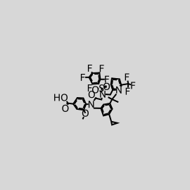 COc1cc(C(=O)O)ccc1N(Cc1cc(C2CC2)cc(C(C)(C)C)c1)C(=O)CN(Cc1cccc(C(F)(F)F)n1)S(=O)(=O)c1c(F)c(F)c(F)c(F)c1F